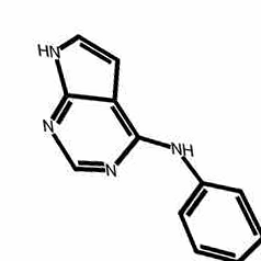 c1ccc(Nc2ncnc3[nH]ccc23)cc1